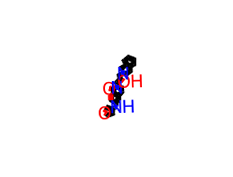 O=C1c2ccc(NC3CCOC3)cc2CCN1CC(O)CN1CCc2ccccc2C1